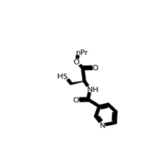 CCCOC(=O)[C@H](CS)NC(=O)c1cccnc1